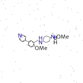 COBN(C)[C@H]1CC[C@H](NCc2cc(-c3ccncc3)ccc2OC)CC1